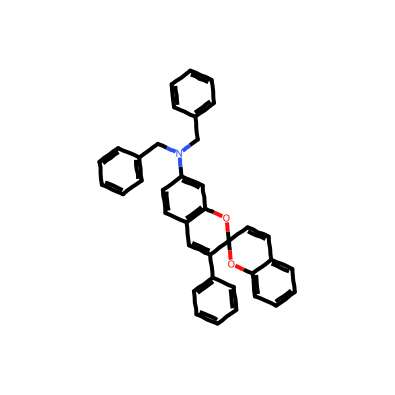 C1=CC2(Oc3ccccc31)Oc1cc(N(Cc3ccccc3)Cc3ccccc3)ccc1C=C2c1ccccc1